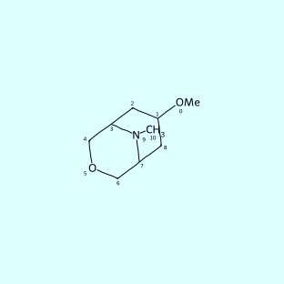 COC1CC2COCC(C1)N2C